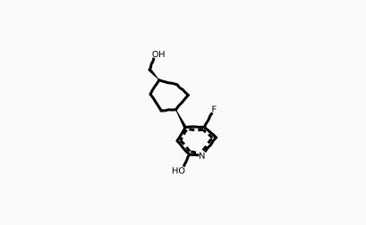 OC[C@H]1CC[C@@H](c2cc(O)ncc2F)CC1